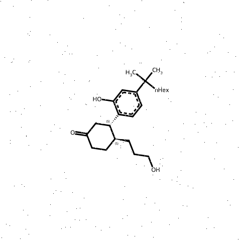 CCCCCCC(C)(C)c1ccc([C@H]2CC(=O)CC[C@@H]2CCCO)c(O)c1